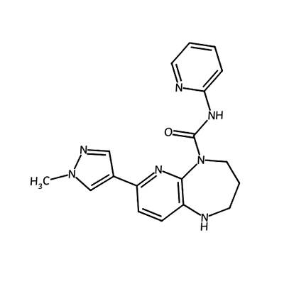 Cn1cc(-c2ccc3c(n2)N(C(=O)Nc2ccccn2)CCCN3)cn1